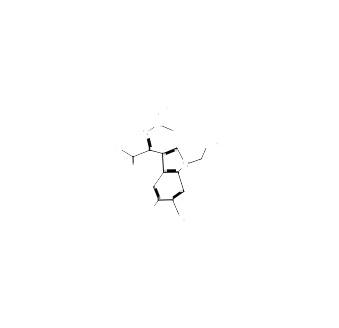 CC(C)(C)Cn1cc(/C(=N\[S@@+]([O-])C(C)(C)C)C(F)F)c2cc(F)c(Br)cc21